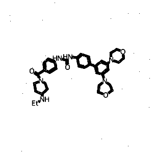 CCNC1CCN(C(=O)c2ccc(NC(=O)Nc3ccc(-c4cc(N5CCOCC5)cc(N5CCOCC5)c4)cc3)cc2)CC1